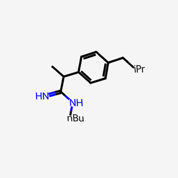 CCCCNC(=N)C(C)c1ccc(CC(C)C)cc1